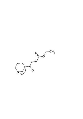 CCOC(=O)/C=C/C(=O)C12CCCN(CC1)C2